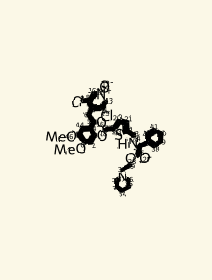 COc1ccc(C(Cc2c(Cl)c[n+]([O-])cc2Cl)OC(=O)c2ccc(CNC(C(=O)OCCN3CCCCC3)c3ccccc3)s2)cc1OC